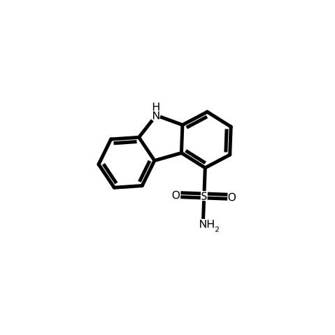 NS(=O)(=O)c1cccc2[nH]c3ccccc3c12